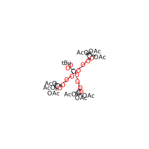 CC(=O)OC[C@H]1O[C@@H](OCCOCCOc2cc(C(=O)OC(C)(C)C)cc(OCCOCCO[C@H]3C[C@@H](OC(C)=O)[C@@H](OC(C)=O)[C@@H](COC(C)=O)O3)c2OCCOCCO[C@H]2C[C@@H](OC(C)=O)[C@@H](OC(C)=O)[C@@H](COC(C)=O)O2)C[C@@H](OC(C)=O)[C@H]1OC(C)=O